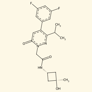 CC(C)c1nn(CC(=O)N[C@H]2C[C@](C)(O)C2)c(=O)cc1-c1cc(F)cc(F)c1